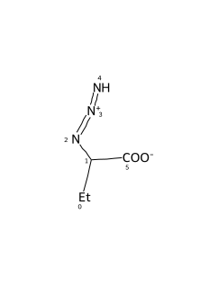 CCC(N=[N+]=N)C(=O)[O-]